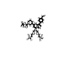 CCc1ccc(-c2cnn3c(N(COCC[Si](C)(C)C)COCC[Si](C)(C)C)cc(C4CCCN(C(=O)OC(C)(C)C)C4)nc23)cc1